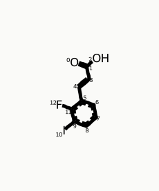 O=C(O)/C=C/c1cccc(I)c1F